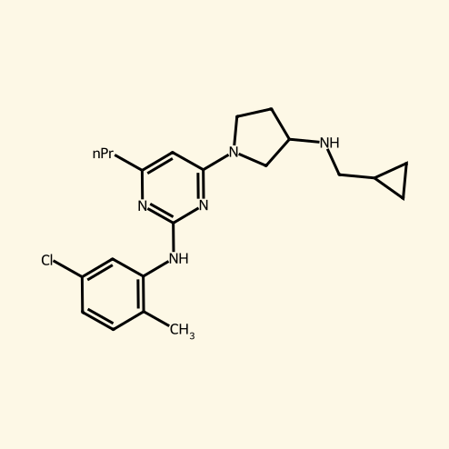 CCCc1cc(N2CCC(NCC3CC3)C2)nc(Nc2cc(Cl)ccc2C)n1